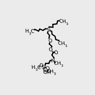 CCCCCC[Si](CCCCCC)(CCCCCC)CCCOCCOC(=O)CCN(C)CCC[Si](CO)(OC)OC